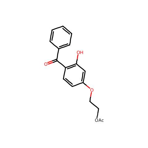 CC(=O)OCCOc1ccc(C(=O)c2ccccc2)c(O)c1